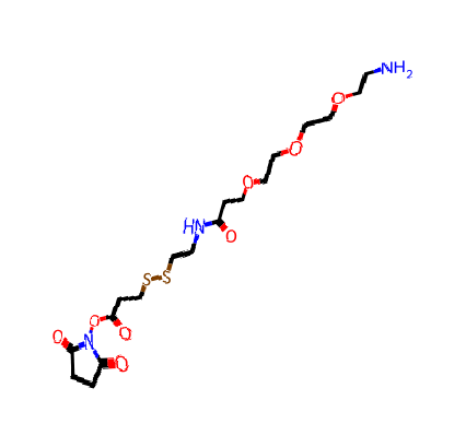 NCCOCCOCCOCCC(=O)NCCSSCCC(=O)ON1C(=O)CCC1=O